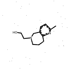 Cc1ccc2c(n1)CCCN(CCO)C2